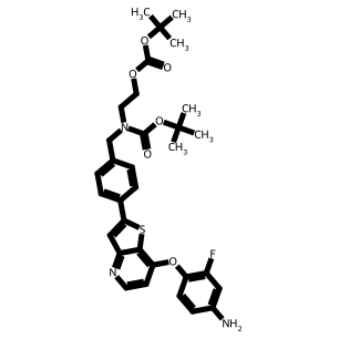 CC(C)(C)OC(=O)OCCN(Cc1ccc(-c2cc3nccc(Oc4ccc(N)cc4F)c3s2)cc1)C(=O)OC(C)(C)C